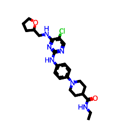 CCNC(=O)C1CCN(c2ccc(Nc3ncc(Cl)c(NCC4CCCO4)n3)cc2)CC1